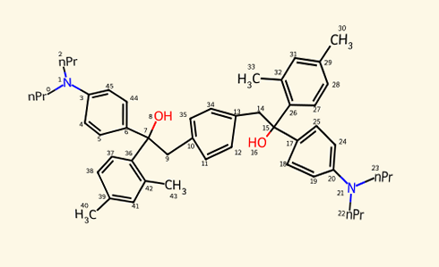 CCCN(CCC)c1ccc(C(O)(Cc2ccc(CC(O)(c3ccc(N(CCC)CCC)cc3)c3ccc(C)cc3C)cc2)c2ccc(C)cc2C)cc1